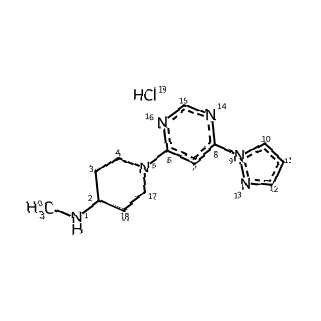 CNC1CCN(c2cc(-n3cccn3)ncn2)CC1.Cl